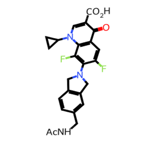 CC(=O)NCc1ccc2c(c1)CN(c1c(F)cc3c(=O)c(C(=O)O)cn(C4CC4)c3c1F)C2